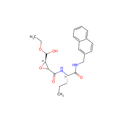 CCC[C@H](NC(=O)C1O[C@H]1C(O)OCC)C(=O)NCc1ccc2ccccc2c1